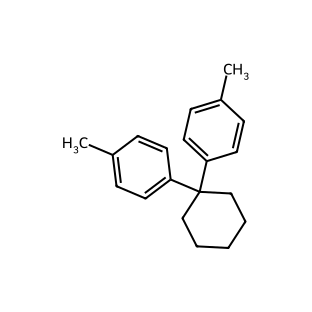 Cc1ccc(C2(c3ccc(C)cc3)CCCCC2)cc1